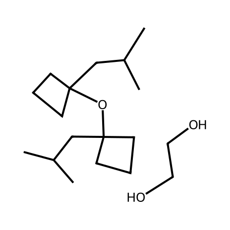 CC(C)CC1(OC2(CC(C)C)CCC2)CCC1.OCCO